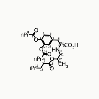 CCCC(=O)Oc1ccc(C[C@H](NCC(C)OC(=O)CCC(C)C)C(=O)O)cc1OC(=O)CCC